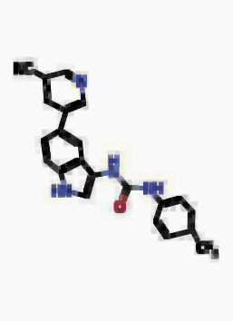 N#Cc1cncc(-c2ccc3[nH]cc(NC(=O)Nc4ccc(C(F)(F)F)cc4)c3c2)c1